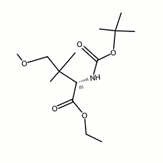 CCOC(=O)[C@@H](NC(=O)OC(C)(C)C)C(C)(C)COC